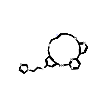 C1=C/COCc2cc(cc(OCCn3ccnc3)c2)Nc2nccc(n2)-c2ccnc(c2)OCC/1